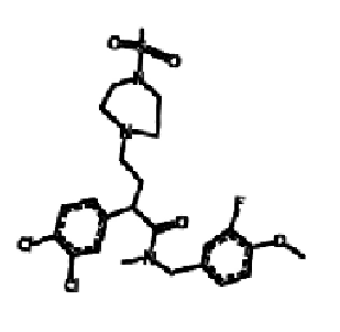 COc1ccc(CN(C)C(=O)C(CCN2CCN(S(C)(=O)=O)CC2)c2ccc(Cl)c(Cl)c2)cc1F